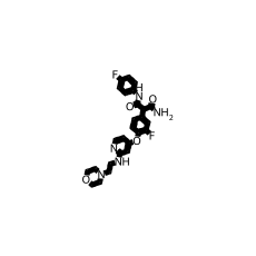 NC(=O)C(C(=O)Nc1ccc(F)cc1)c1ccc(Oc2ccnc(NCCN3CCOCC3)c2)c(F)c1